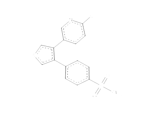 CS(=O)(=O)c1ccc(-c2cscc2-c2ccc(Cl)nc2)cc1